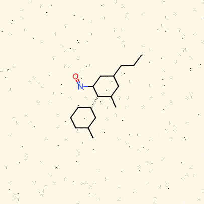 CCCC1CC(C)C([C@H]2CCCC(C)C2)C(N=O)C1